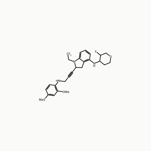 COc1cc(SC)ccc1NCC#CC1Cc2c(NC3CCOCC3F)cccc2N1CC(F)(F)F